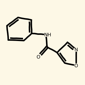 O=C(Nc1ccccc1)c1cnoc1